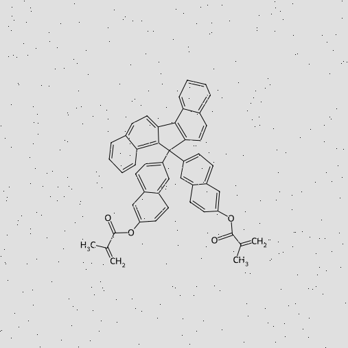 C=C(C)C(=O)Oc1ccc2cc(C3(c4ccc5cc(OC(=O)C(=C)C)ccc5c4)c4ccc5ccccc5c4-c4ccc5ccccc5c43)ccc2c1